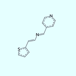 C(=Cc1cccs1)N=Cc1ccncc1